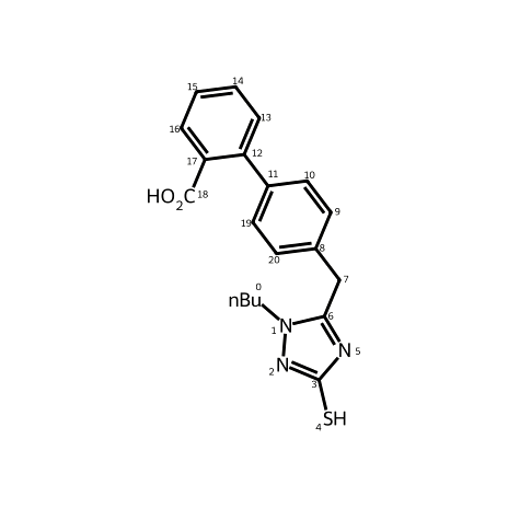 CCCCn1nc(S)nc1Cc1ccc(-c2ccccc2C(=O)O)cc1